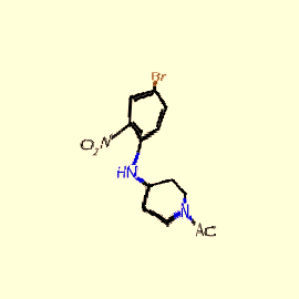 CC(=O)N1CCC(Nc2ccc(Br)cc2[N+](=O)[O-])CC1